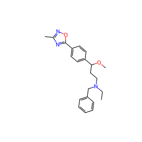 CCN(CCC(OC)c1ccc(-c2nc(C)no2)cc1)Cc1ccccc1